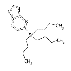 CCC[CH2][Sn]([CH2]CCC)([CH2]CCC)[c]1ccn2nccc2n1